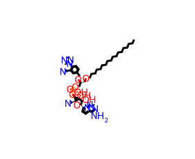 CCCCCCCCCCCCCCCCCCOC[C@H](COP(=O)(O)OC1[C@@]2(C#N)O[C@@H](c3ccc4c(N)ncnn34)[C@H](O)[C@@]12O)OCc1ccc(-n2cncn2)c(C#N)c1